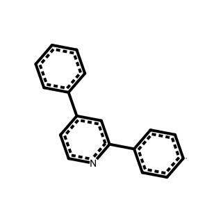 [c]1ccc(-c2cc(-c3ccccc3)ccn2)cc1